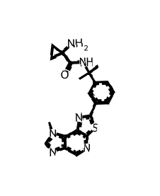 Cn1cnc2cnc3sc(-c4cccc(C(C)(C)NC(=O)C5(N)CC5)c4)nc3c21